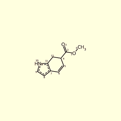 COC(=O)C1C=Cc2cc[nH]c2C1